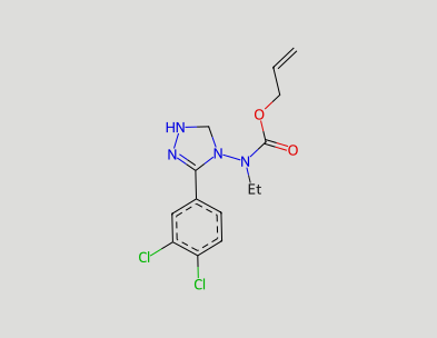 C=CCOC(=O)N(CC)N1CNN=C1c1ccc(Cl)c(Cl)c1